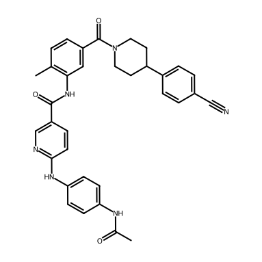 CC(=O)Nc1ccc(Nc2ccc(C(=O)Nc3cc(C(=O)N4CCC(c5ccc(C#N)cc5)CC4)ccc3C)cn2)cc1